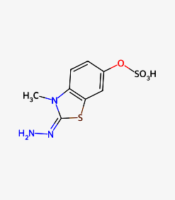 Cn1c(=NN)sc2cc(OS(=O)(=O)O)ccc21